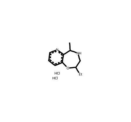 CCC1CNC(C)c2ncccc2O1.Cl.Cl